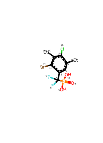 CCc1cc(C(F)(F)P(=O)(O)O)c(Br)c(CC)c1Cl